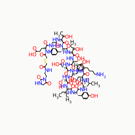 CC[C@H](C)[C@H](NC(=O)[C@H](CO)NC(=O)[C@H](Cc1ccc(O)cc1)NC(=O)[C@H](CC(=O)O)NC(=O)[C@H](CO)NC(=O)[C@@H](NC(=O)[C@H](Cc1ccccc1)NC(=O)[C@@H](NC(=O)CNC(=O)[C@H](CCC(=O)O)NC(=O)CSCC(=O)NCCN1C(=O)CNC1=O)[C@@H](C)O)[C@@H](C)O)C(=O)N[C@@H](Cc1ccc(O)cc1)C(=O)N[C@@H](CC(C)C)C(=O)N[C@@H](CC(=O)O)C(=O)N[C@H](C)CCCCN